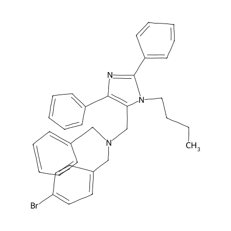 CCCCn1c(-c2ccccc2)nc(-c2ccccc2)c1CN(Cc1ccccc1)Cc1ccc(Br)cc1